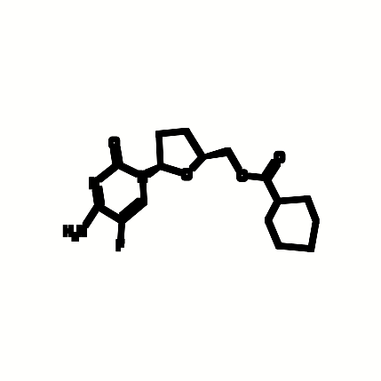 Nc1nc(=O)n([C@H]2CC[C@@H](COC(=O)C3CCCCC3)O2)cc1F